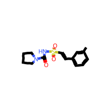 Cc1cccc(C=CS(=O)(=O)NC(=O)N2CCCC2)c1